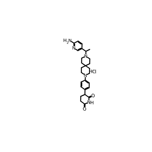 CC(c1ccc(N)nc1)N1CCC2(CCN(c3ccc(C4CCC(=O)NC4=O)cc3)CC2)CC1.Cl